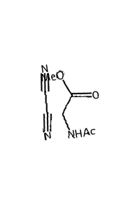 COC(=O)CNC(C)=O.N#CC#N